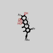 C=C1C2=C(O)[C@@]3(O)C(=O)C(C(C)=O)=C(O)C[C@@]3(C)C[C@@]2(C)Cc2c(C(C)C)cc(C#CCCCC)c(C)c21